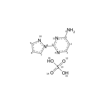 Nc1ccnc(-n2cccn2)n1.O=S(=O)(O)O